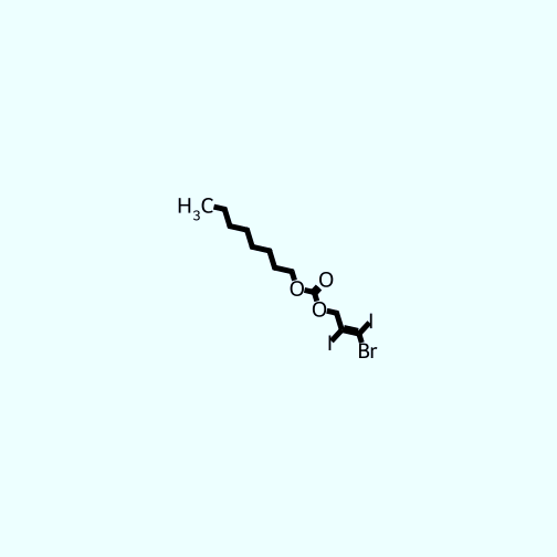 CCCCCCCCOC(=O)OCC(I)=C(Br)I